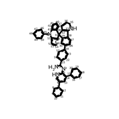 NC(/N=c1\[nH]cc(-c2ccccc2)cc1-c1ccccc1)c1ccc(-c2ccc3c(c2)C2(C4=C3NCC=C4)c3ccccc3N(c3ccccc3)c3ccccc32)cc1